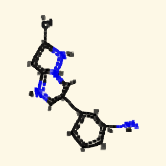 N#Cc1cc2ncc(-c3cccc(N)c3)cn2n1